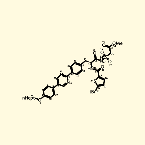 CCCCCCCOc1ccc(-c2cnc(-c3ccc(C[C@H](NC(=O)c4ccc(C(C)(C)C)s4)C(=O)NS(=O)(=O)CC(=O)OC)cc3)nc2)cc1